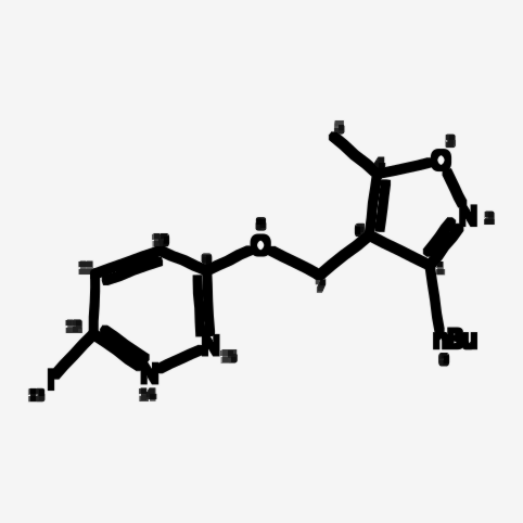 CCCCc1noc(C)c1COc1ccc(I)nn1